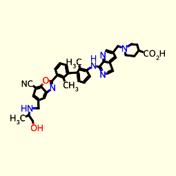 Cc1c(Nc2nccc3cc(CN4CCC(C(=O)O)CC4)cnc23)cccc1-c1cccc(-c2nc3cc(CNC(C)CO)cc(C#N)c3o2)c1C